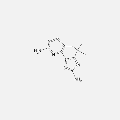 CC1(C)Cc2cnc(N)nc2-c2sc(N)nc21